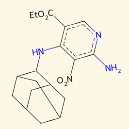 CCOC(=O)c1cnc(N)c([N+](=O)[O-])c1NC1C2CC3CC(C2)CC1C3